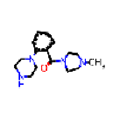 CN1CCN(C(=O)c2ccccc2N2CCNCC2)CC1